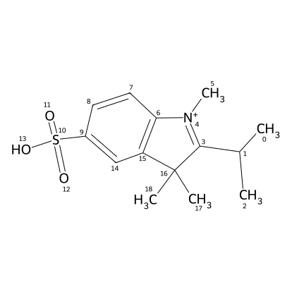 CC(C)C1=[N+](C)c2ccc(S(=O)(=O)O)cc2C1(C)C